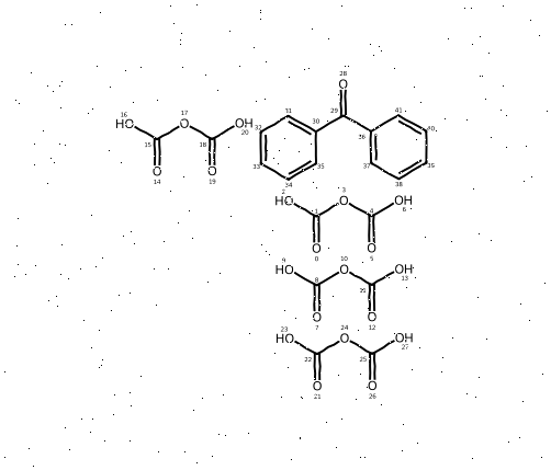 O=C(O)OC(=O)O.O=C(O)OC(=O)O.O=C(O)OC(=O)O.O=C(O)OC(=O)O.O=C(c1ccccc1)c1ccccc1